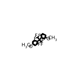 COc1ccc(C(c2cccc(OC)c2)(C(F)(F)F)C(F)(F)F)cc1